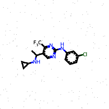 CC(NC1CC1)c1cnc(Nc2cccc(Cl)c2)nc1C(F)(F)F